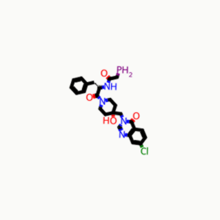 O=C(CP)N[C@@H](Cc1ccccc1)C(=O)N1CCC(O)(Cn2cnc3cc(Cl)ccc3c2=O)CC1